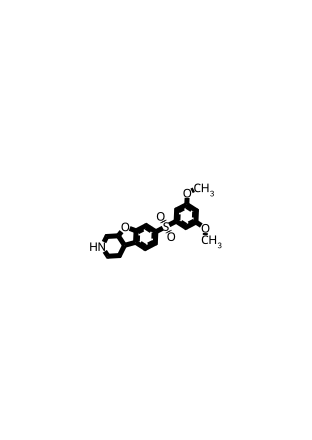 COc1cc(OC)cc(S(=O)(=O)c2ccc3c(c2)OC2CNCCC32)c1